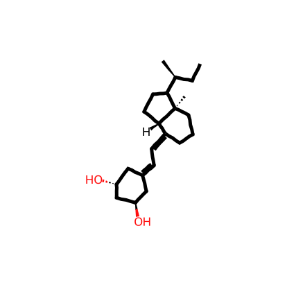 CC[C@H](C)C1CC[C@H]2/C(=C/C=C3C[C@@H](O)C[C@H](O)C3)CCC[C@]12C